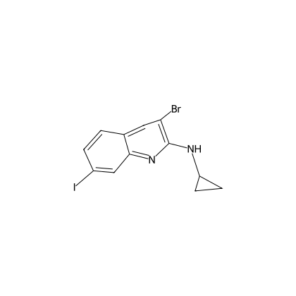 Brc1cc2ccc(I)cc2nc1NC1CC1